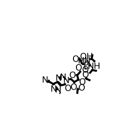 CC(=O)OC1C(COC(C(=O)O)P(=O)(NC(C)C)NC(C)C)OC(n2nnc3c(C#N)nn(C)c3c2=O)C1OC(C)=O